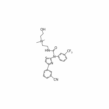 C[N+](C)(CCO)CCNC(=O)N(c1cccc(C(F)(F)F)c1)c1nc(-c2cccc(C#N)c2)cs1